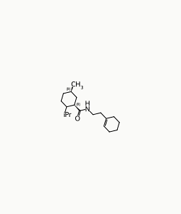 CC(C)C1CC[C@@H](C)C[C@H]1C(=O)NCCC1=CCCCC1